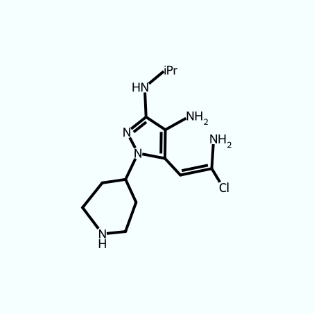 CC(C)Nc1nn(C2CCNCC2)c(/C=C(\N)Cl)c1N